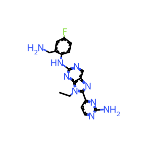 CCn1c(-c2ccnc(N)n2)nc2cnc(Nc3ccc(F)cc3CN)nc21